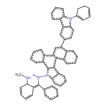 CNC1C=CC=C/C1=C(\c1ccccc1)N(I)n1c2ccccc2c2c3c4ccccc4c(-c4ccc5c(c4)c4ccccc4n5C4=CC=CCC4)cc3c3ccccc3c21